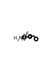 Nc1cnc(-c2ccc(CC3CCCCC3)cc2F)cn1